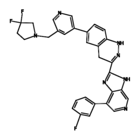 Fc1cccc(-c2cncc3[nH]c(C4=NNc5ccc(-c6cncc(CN7CCC(F)(F)C7)c6)cc5C4)nc23)c1